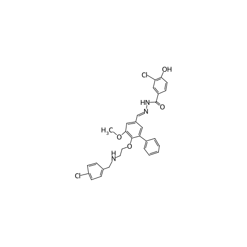 COc1cc(/C=N/NC(=O)c2ccc(O)c(Cl)c2)cc(-c2ccccc2)c1OCCNCc1ccc(Cl)cc1